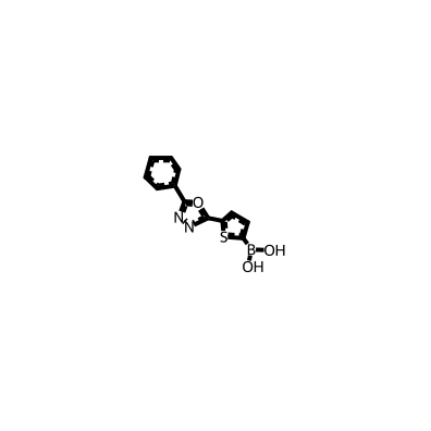 OB(O)c1ccc(-c2nnc(-c3ccccc3)o2)s1